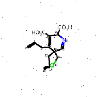 C=CCC1=C(C(=O)O)C(C(=O)O)N=CC1(CCl)CC=C